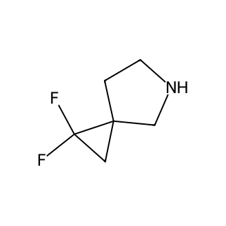 FC1(F)CC12CCNC2